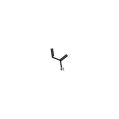 [CH]=CC(=C)CC